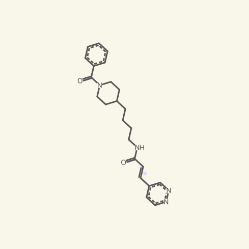 O=C(/C=C/c1ccnnc1)NCCCCC1CCN(C(=O)c2ccccc2)CC1